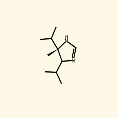 CC(C)C1N=CN[C@@]1(C)C(C)C